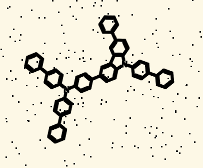 c1ccc(-c2ccc(N(c3ccc(-c4ccccc4)cc3)c3ccc(-c4ccc5c(c4)c4cc(-c6ccccc6)ccc4n5-c4ccc(-c5ccccc5)cc4)cc3)cc2)cc1